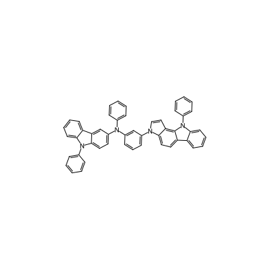 c1ccc(N(c2cccc(-n3ccc4c3ccc3c5ccccc5n(-c5ccccc5)c34)c2)c2ccc3c(c2)c2ccccc2n3-c2ccccc2)cc1